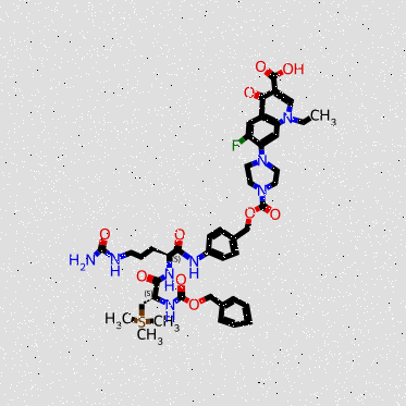 CCn1cc(C(=O)O)c(=O)c2cc(F)c(N3CCN(C(=O)OCc4ccc(NC(=O)[C@H](CCCNC(N)=O)NC(=O)[C@@H](CS(C)(C)C)NC(=O)OCc5ccccc5)cc4)CC3)cc21